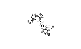 Nc1cccc(-c2nncn2CCCOCc2ccc(Br)cc2C(=O)O)n1